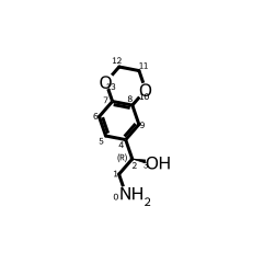 NC[C@H](O)c1ccc2c(c1)OCCO2